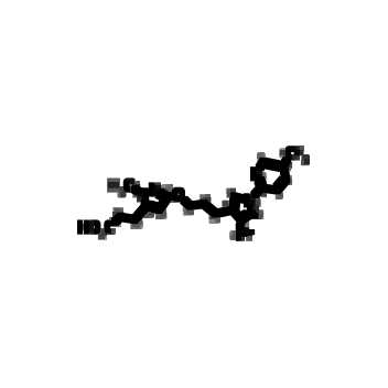 CC(C)c1nn(-c2ccc(C(F)(F)F)cn2)cc1CCCOc1cc(CCC(=O)O)n(C)n1